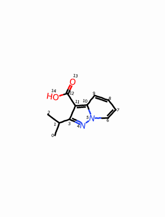 CC(C)c1nn2ccccc2c1C(=O)O